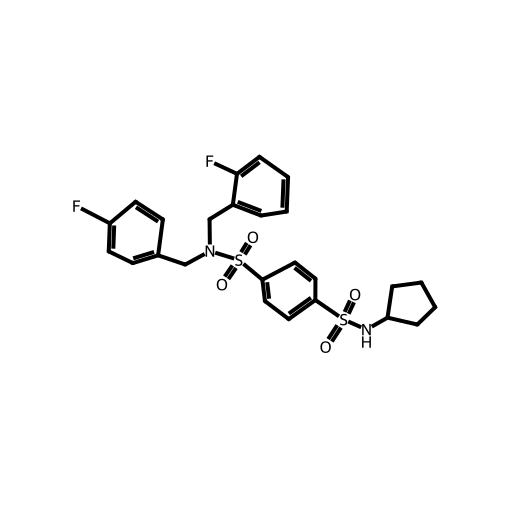 O=S(=O)(NC1CCCC1)c1ccc(S(=O)(=O)N(Cc2ccc(F)cc2)Cc2ccccc2F)cc1